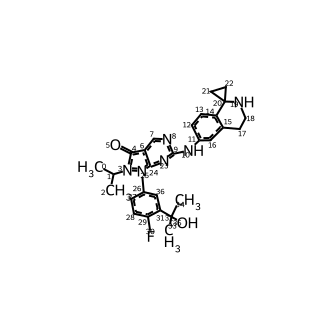 CC(C)n1c(=O)c2cnc(Nc3ccc4c(c3)CCNC43CC3)nc2n1-c1ccc(F)c(C(C)(C)O)c1